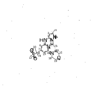 Cc1cc(Nc2cc(C(C)(C)S(C)(=O)=O)cc(N3CCOC[C@H]3C)n2)[nH]n1